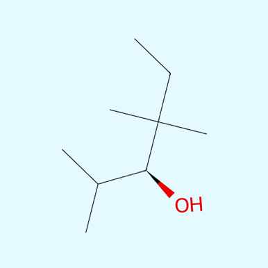 CCC(C)(C)[C@@H](O)C(C)C